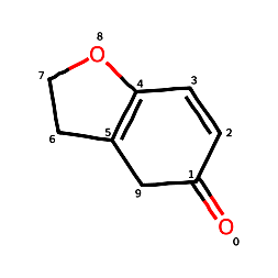 O=C1C=CC2=C(CCO2)C1